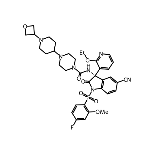 CCOc1ncccc1[C@]1(NC(=O)N2CCN(C3CCN(C4COC4)CC3)CC2)C(=O)N(S(=O)(=O)c2ccc(F)cc2OC)c2ccc(C#N)cc21